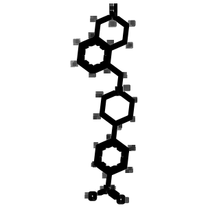 O=[N+]([O-])c1ccc(C2CCN(Cc3cccc4c3CCNC4)CC2)cc1